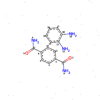 NC(=O)c1ccc(C(N)=O)cc1.Nc1ccccc1N